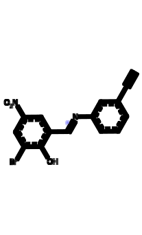 C#Cc1cccc(/N=C/c2cc([N+](=O)[O-])cc(Br)c2O)c1